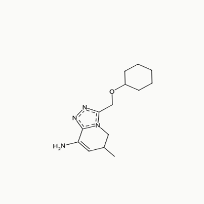 CC1C=C(N)c2nnc(COC3CCCCC3)n2C1